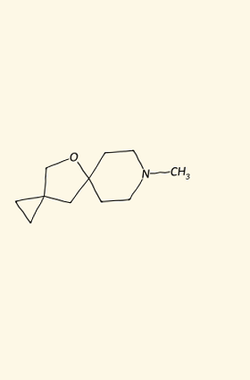 CN1CCC2(CC1)CC1(CC1)CO2